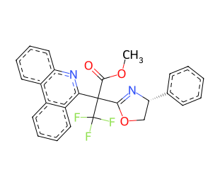 COC(=O)C(C1=N[C@H](c2ccccc2)CO1)(c1nc2ccccc2c2ccccc12)C(F)(F)F